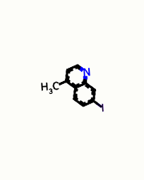 Cc1ccnc2cc(I)ccc12